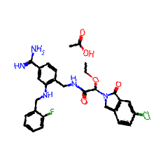 CC(=O)O.CCOC(C(=O)NCc1ccc(C(=N)N)cc1NCc1ccccc1F)N1Cc2ccc(Cl)cc2C1=O